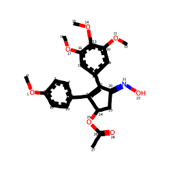 COc1ccc(C2=C(c3cc(OC)c(OC)c(OC)c3)C(=NO)CC2OC(C)=O)cc1